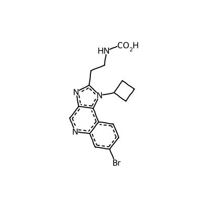 O=C(O)NCCc1nc2cnc3cc(Br)ccc3c2n1C1CCC1